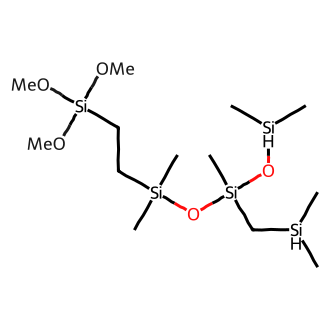 CO[Si](CC[Si](C)(C)O[Si](C)(C[SiH](C)C)O[SiH](C)C)(OC)OC